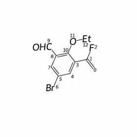 C=C(F)c1cc(Br)cc(C=O)c1OCC